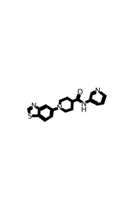 O=C(Nc1cccnc1)C1CCN(c2ccc3scnc3c2)CC1